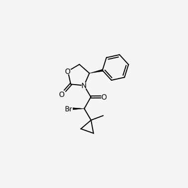 CC1([C@@H](Br)C(=O)N2C(=O)OC[C@H]2c2ccccc2)CC1